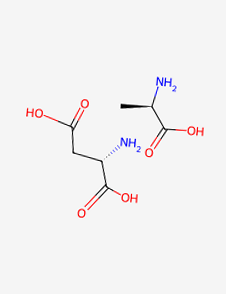 C[C@@H](N)C(=O)O.N[C@@H](CC(=O)O)C(=O)O